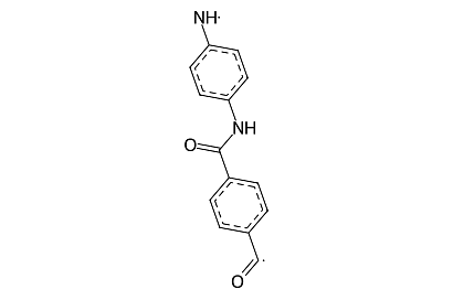 [NH]c1ccc(NC(=O)c2ccc([C]=O)cc2)cc1